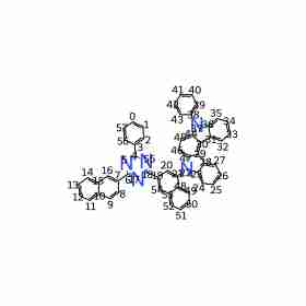 c1ccc(-c2nc(-c3ccc4ccccc4c3)nc(-c3cc(-n4c5ccccc5c5c6c7ccccc7n(-c7ccccc7)c6ccc54)c4ccccc4c3)n2)cc1